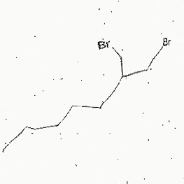 CCCCCC(Br)[CH]Br